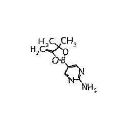 C=C1OB(c2cnc(N)nc2)OC1(C)C